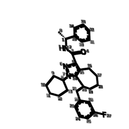 C[C@@H](NC(=O)c1nn(C2CCCCC2)c2c1CCCCC2Cc1cccc(F)c1)c1ccccc1